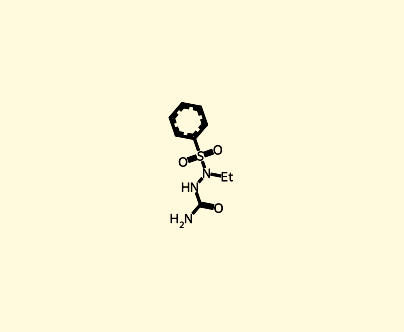 CCN(NC(N)=O)S(=O)(=O)c1ccccc1